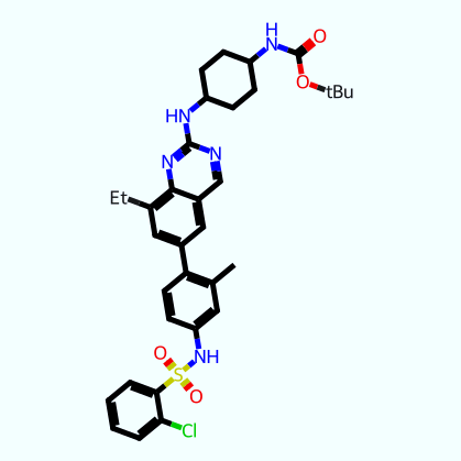 CCc1cc(-c2ccc(NS(=O)(=O)c3ccccc3Cl)cc2C)cc2cnc(NC3CCC(NC(=O)OC(C)(C)C)CC3)nc12